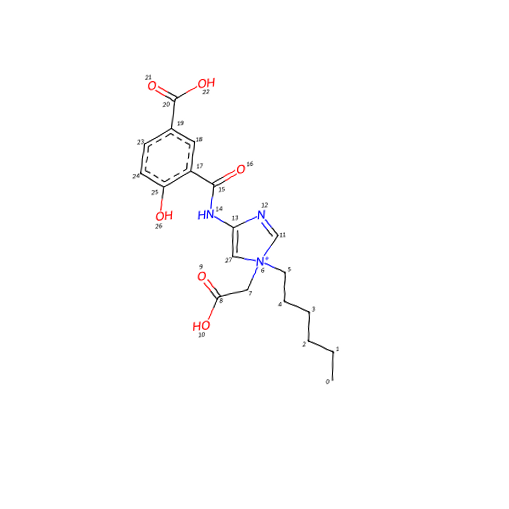 CCCCCC[N+]1(CC(=O)O)C=NC(NC(=O)c2cc(C(=O)O)ccc2O)=C1